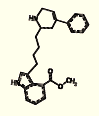 COC(=O)c1cccc2[nH]cc(CCCCC3CC(c4ccccc4)=CCN3)c12